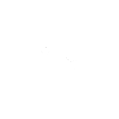 CCOC(=O)CC(=O)N1CCC(COc2ccc(F)cc2C2CCCC2)C1